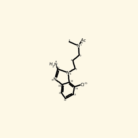 CC(=O)N(C)CCCn1c(N)nc2cccc(Cl)c21